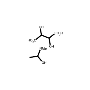 CNC(C)O.O=C(O)C(O)C(O)C(=O)O